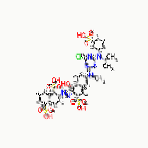 CC(C)N(c1cccc(S(=O)(=O)O)c1)c1nc(Cl)nc(N(C)c2ccc3c(O)c(N=Nc4ccc5c(S(=O)(=O)O)cccc5c4S(=O)(=O)O)c(S(=O)(=O)O)cc3c2)n1